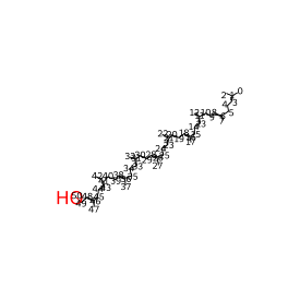 CC(C)=CCCC(C)=CCCC(C)=CCCC(C)=CCCC(C)=CCCC(C)=CCCC(C)=CCCC(C)=CCCC(C)=CCCC(C)=CCO